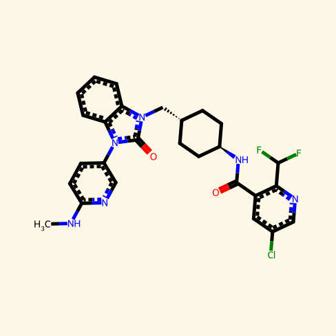 CNc1ccc(-n2c(=O)n(C[C@H]3CC[C@H](NC(=O)c4cc(Cl)cnc4C(F)F)CC3)c3ccccc32)cn1